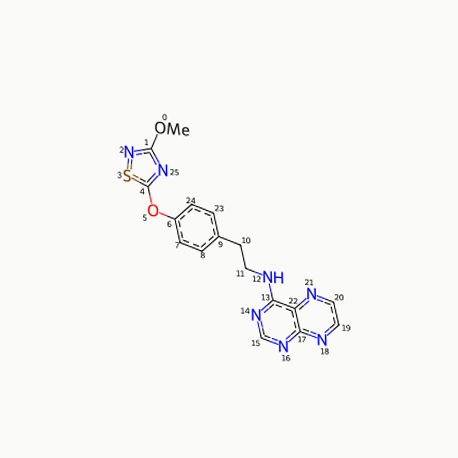 COc1nsc(Oc2ccc(CCNc3ncnc4nccnc34)cc2)n1